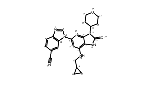 N#Cc1ccc2ncn(-c3nc(NCC4CC4)c4[nH]c(=O)n(C5CCOCC5)c4n3)c2c1